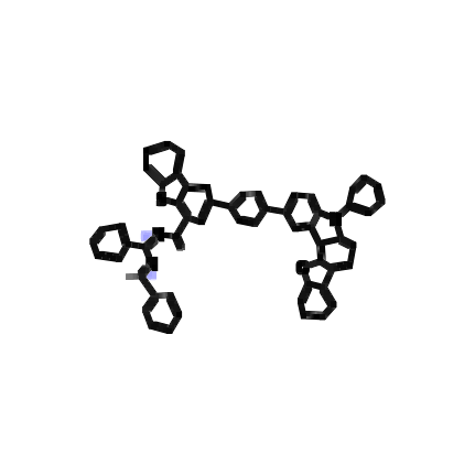 C=C(/N=C(\N=C(/C)c1ccccc1)c1ccccc1)c1cc(-c2ccc(-c3ccc4c(c3)c3c5oc6ccccc6c5ccc3n4-c3ccccc3)cc2)cc2c1sc1ccccc12